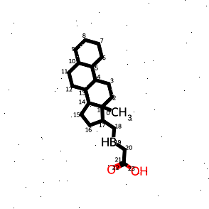 CC12CCC3C4CCCCC4CCC3C1CCC2CBCC(=O)O